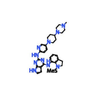 CSN1CCc2cccc(Nc3nc(Nc4ccc(N5CCC(N6CCN(C)CC6)CC5)cn4)nc4[nH]ccc34)c21